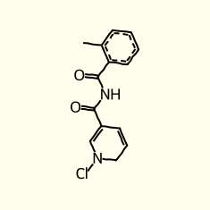 Cc1ccccc1C(=O)NC(=O)C1=CN(Cl)CC=C1